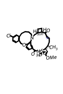 COCC[C@@H]1[C@@H](C)C/C=C/C(=O)[C@@H]2CC[C@H]2CN2CCCCc3cc(Cl)ccc3COc3ccc(cc32)C(=O)NS1(=O)=O